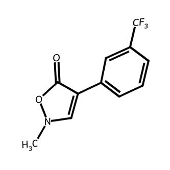 Cn1cc(-c2cccc(C(F)(F)F)c2)c(=O)o1